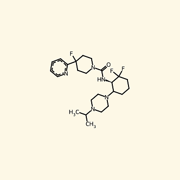 CC(C)N1CCN(C2CCCC(F)(F)[C@@H]2NC(=O)N2CCC(F)(c3ccccn3)CC2)CC1